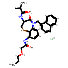 CNC(C)C(=O)NC1CSc2c(NC(=O)COCCOC)cccc2N(Cc2cccc3ccccc23)C1=O.Cl